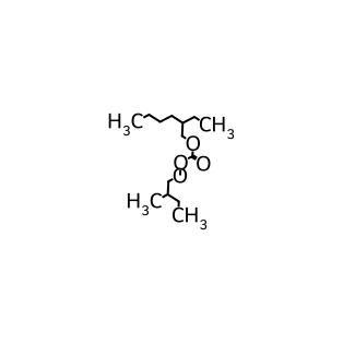 CCCCC(CC)COC(=O)OOCC(C)CC